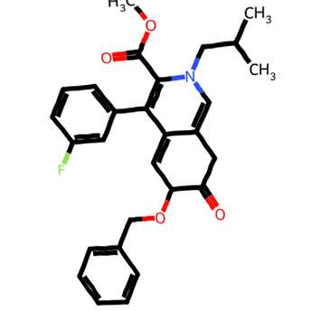 COC(=O)C1=C(c2cccc(F)c2)C2=CC(OCc3ccccc3)C(=O)CC2=CN1CC(C)C